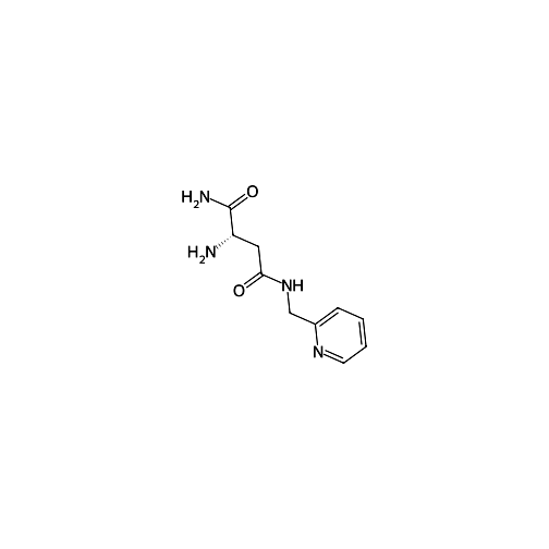 NC(=O)[C@@H](N)CC(=O)NCc1ccccn1